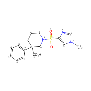 Cn1cnc(S(=O)(=O)N2CCCC(C(=O)O)(c3ccccc3)C2)c1